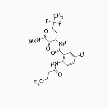 CNC(=O)C(=O)[C@H](CCC(C)(F)F)NC(=O)c1cc(Cl)ccc1NC(=O)CCC(F)(F)F